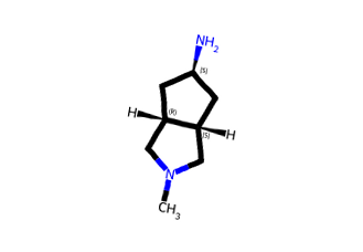 CN1C[C@H]2C[C@H](N)C[C@H]2C1